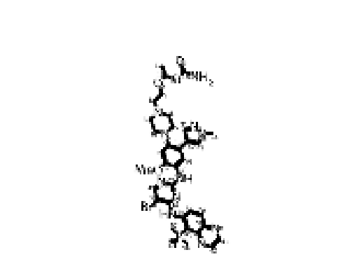 COc1cc(N2CCN(CCOC(C)OC(N)=O)CC2)c(-c2cnn(C)c2)cc1Nc1ncc(Br)c(Nc2ccc3nccnc3c2P(C)(C)=O)n1